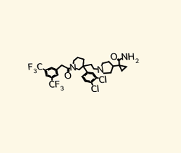 NC(=O)C1(C2CCN(CCC3(c4ccc(Cl)c(Cl)c4)CCCN(C(=O)Cc4cc(C(F)(F)F)cc(C(F)(F)F)c4)C3)CC2)CC1